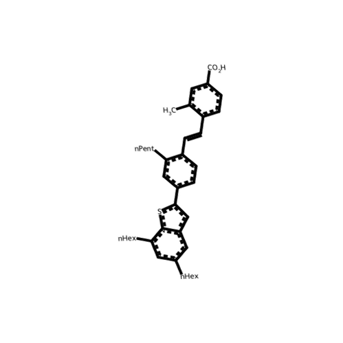 CCCCCCc1cc(CCCCCC)c2sc(-c3ccc(C=Cc4ccc(C(=O)O)cc4C)c(CCCCC)c3)cc2c1